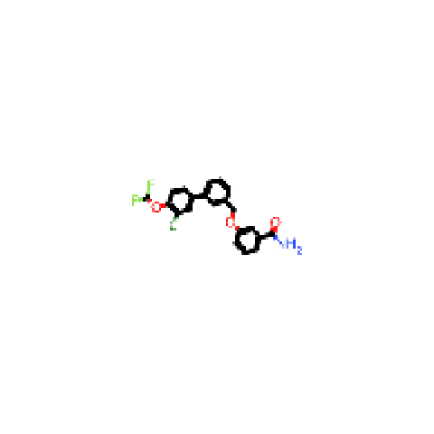 NC(=O)c1cccc(OCc2cccc(-c3ccc(OC(F)F)c(Cl)c3)c2)c1